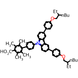 CCCCC(CC)COc1ccc(-c2ccc3c(c2)c2cc(-c4ccc(OCC(CC)CCCC)cc4)ccc2n3-c2ccc(-c3c(C)c(C)c(C(=O)O)c(C)c3C)cc2)cc1